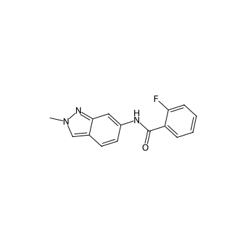 Cn1cc2ccc(NC(=O)c3ccccc3F)cc2n1